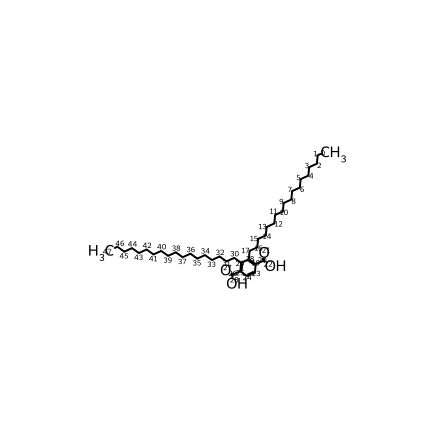 CCCCCCCCCCCCCCCCCCc1c(C(=O)O)ccc(C(=O)O)c1CCCCCCCCCCCCCCCCCC